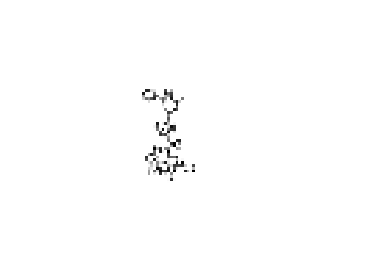 CCn1cc(NC(=O)c2coc(-c3cc(C)nc(Cl)c3)n2)c(C(N)=O)n1